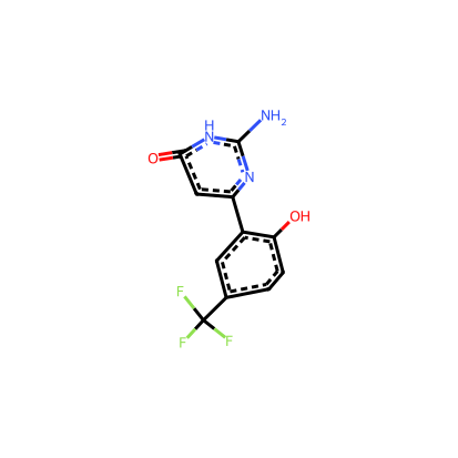 Nc1nc(-c2cc(C(F)(F)F)ccc2O)cc(=O)[nH]1